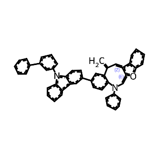 C=C1/C=c2\c(oc3ccccc23)=C/N(c2ccccc2)c2ccc(-c3ccc4c(c3)c3ccccc3n4-c3cccc(-c4ccccc4)c3)cc21